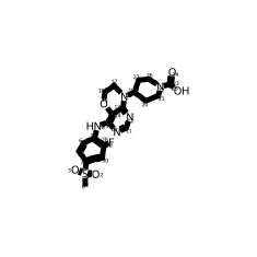 CS(=O)(=O)c1ccc(Nc2ncnc3c2OCCN3C2CCN(C(=O)O)CC2)c(F)c1